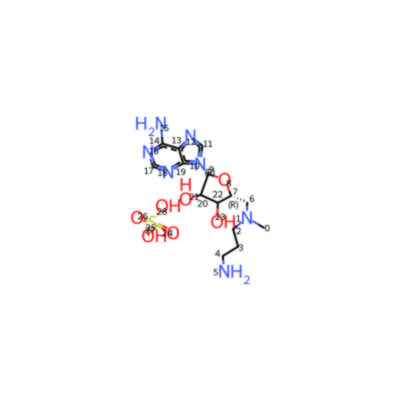 CN(CCCN)C[C@H]1O[C@@H](n2cnc3c(N)ncnc32)C(O)C1O.O=S(=O)(O)O